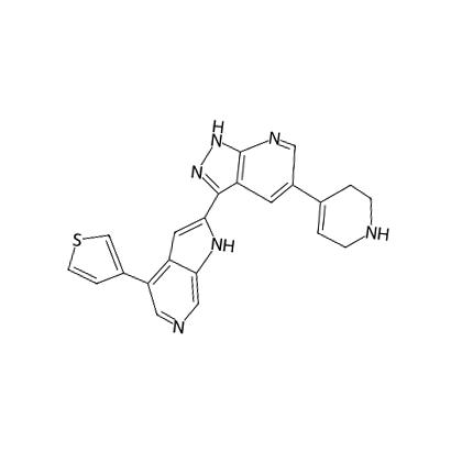 C1=C(c2cnc3[nH]nc(-c4cc5c(-c6ccsc6)cncc5[nH]4)c3c2)CCNC1